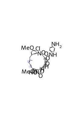 COc1cc2cc(c1Cl)N(C)C(=O)C[C@H](OC(=O)Nc1ccc(N)cc1)[C@]1(C)O[C@H]1[C@H](C)[C@@H]1C[C@@](O)(NC(=O)O1)[C@H](OC)/C=C/C=C(\C)C2